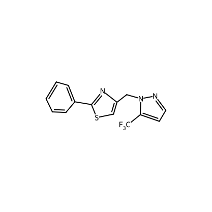 FC(F)(F)c1ccnn1Cc1csc(-c2ccccc2)n1